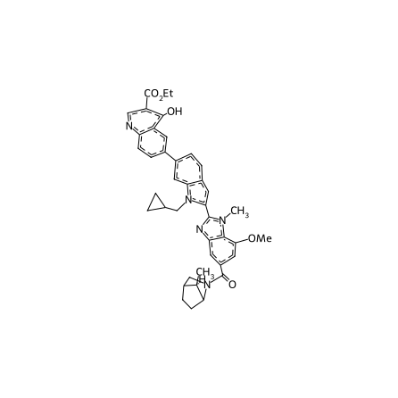 CCOC(=O)c1cnc2ccc(-c3ccc4cc(-c5nc6cc(C(=O)N7CC8CCC7[C@@H]8C)cc(OC)c6n5C)n(CC5CC5)c4c3)cc2c1O